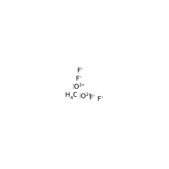 C.[F-].[F-].[F-].[F-].[O+2].[O+2]